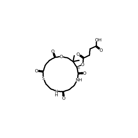 CC1(C)COC(=O)CCC(=O)SCCNC(=O)CCNC(=O)[C@@H]1OC(=O)CCC(=O)O